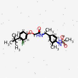 Cc1cc([C@@H](C)NC(=O)COc2ccc(C(C)(C)C)c(F)c2)ccc1NS(C)(=O)=O